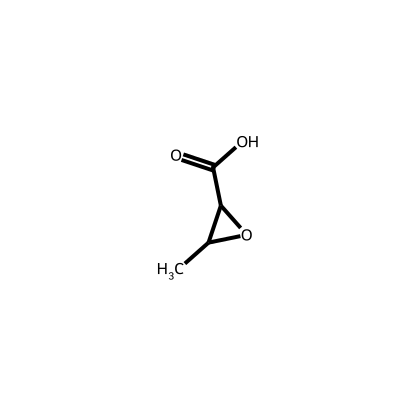 CC1OC1C(=O)O